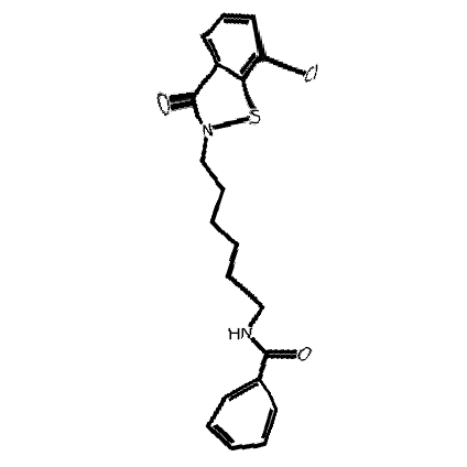 O=C(NCCCCCCn1sc2c(Cl)cccc2c1=O)c1ccccc1